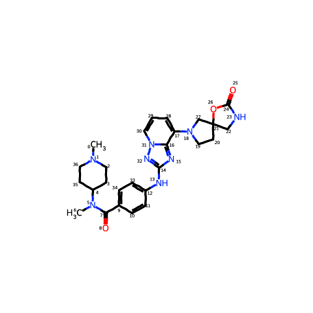 CN1CCC(N(C)C(=O)c2ccc(Nc3nc4c(N5CCC6(CNC(=O)O6)C5)cccn4n3)cc2)CC1